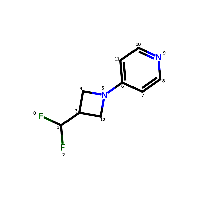 FC(F)C1CN(c2ccncc2)C1